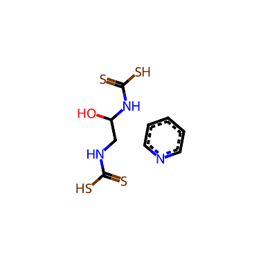 OC(CNC(=S)S)NC(=S)S.c1ccncc1